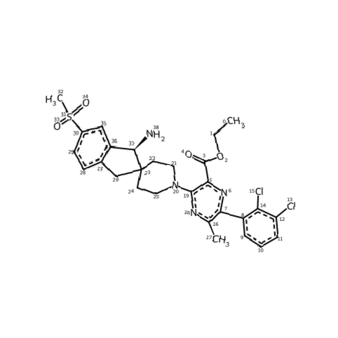 CCOC(=O)c1nc(-c2cccc(Cl)c2Cl)c(C)nc1N1CCC2(CC1)Cc1ccc(S(C)(=O)=O)cc1[C@H]2N